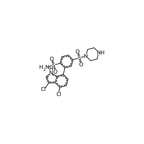 NS(=O)(=O)c1ccc(S(=O)(=O)N2CCNCC2)cc1-c1ccc(Cl)c2c(Cl)c[nH]c12